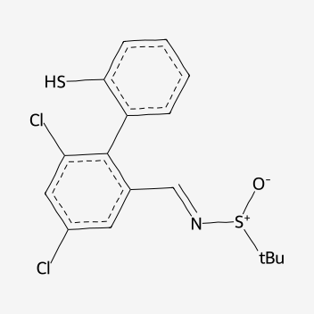 CC(C)(C)[S+]([O-])/N=C/c1cc(Cl)cc(Cl)c1-c1ccccc1S